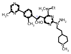 CCN(C)c1nc(N(N)CCC2CCN(C)CC2)ncc1/C=C(\C=O)c1ccc(-c2cncc(C)n2)cc1C